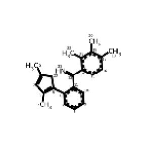 CC1=CC(C)=C(c2ccccc2C(=N)c2ccc(C)c(C)c2C)C1